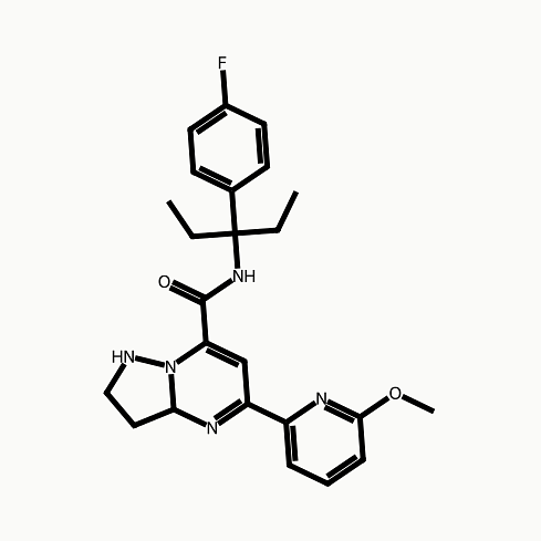 CCC(CC)(NC(=O)C1=CC(c2cccc(OC)n2)=NC2CCNN12)c1ccc(F)cc1